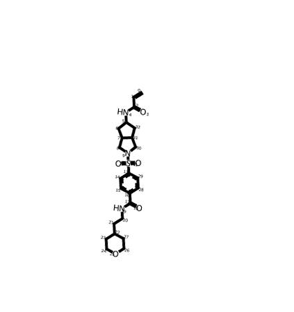 C=CC(=O)NC1CC2CN(S(=O)(=O)c3ccc(C(=O)NCCC4CCOCC4)cc3)CC2C1